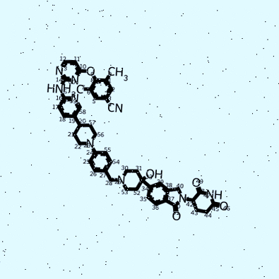 Cc1cc(C#N)cc(C)c1Oc1ccnc(Nc2ccc(C3CCN(c4ccc(CN5CCC(O)(c6ccc7c(c6)CN(C6CCC(=O)NC6=O)C7=O)CC5)cc4)CC3)cn2)n1